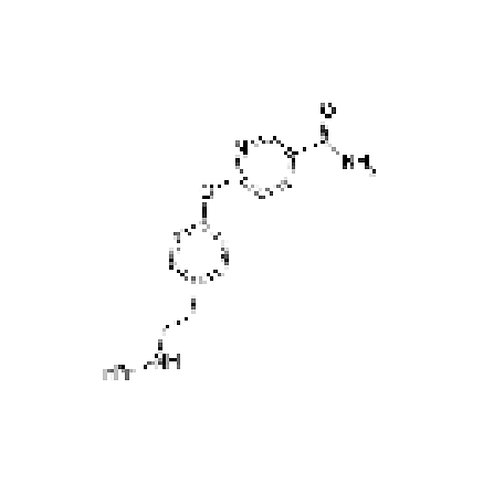 CCCNCCc1ccc(Oc2ccc(C(N)=O)cn2)cc1